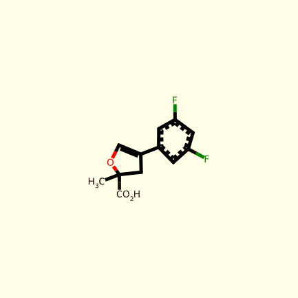 CC1(C(=O)O)CC(c2cc(F)cc(F)c2)=CO1